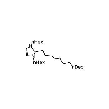 CCCCCCCCCCCCCCCCCC1N(CCCCCC)C=CN1CCCCCC